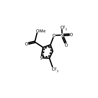 COC(=O)c1sc(C(F)(F)F)cc1OS(=O)(=O)C(F)(F)F